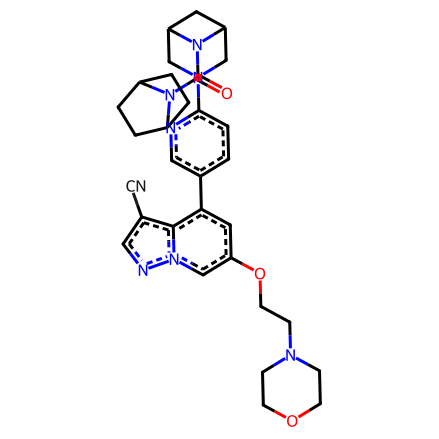 N#Cc1cnn2cc(OCCN3CCOCC3)cc(-c3ccc(N4CC5CC(C4)N5C(=O)N4C5CCC4CC5)nc3)c12